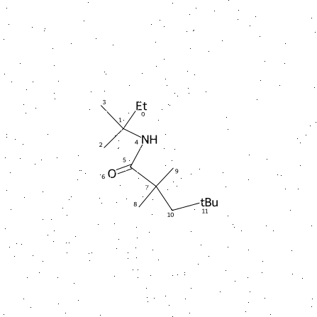 CCC(C)(C)NC(=O)C(C)(C)CC(C)(C)C